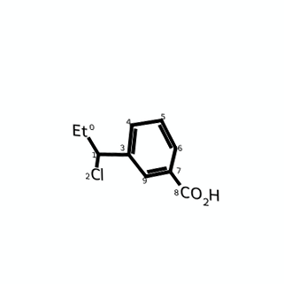 CCC(Cl)c1cccc(C(=O)O)c1